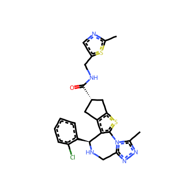 Cc1ncc(CNC(=O)[C@@H]2Cc3sc4c(c3C2)[C@H](c2ccccc2Cl)NCc2nnc(C)n2-4)s1